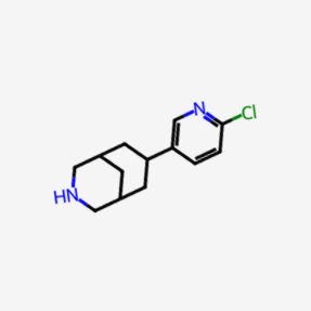 Clc1ccc(C2CC3CNCC(C3)C2)cn1